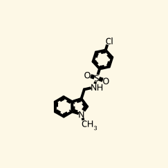 Cn1cc(CNS(=O)(=O)c2ccc(Cl)cc2)c2ccccc21